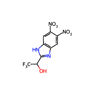 O=[N+]([O-])c1cc2nc(C(O)C(F)(F)F)[nH]c2cc1[N+](=O)[O-]